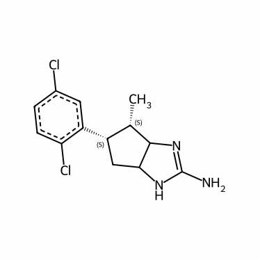 C[C@@H]1C2N=C(N)NC2C[C@@H]1c1cc(Cl)ccc1Cl